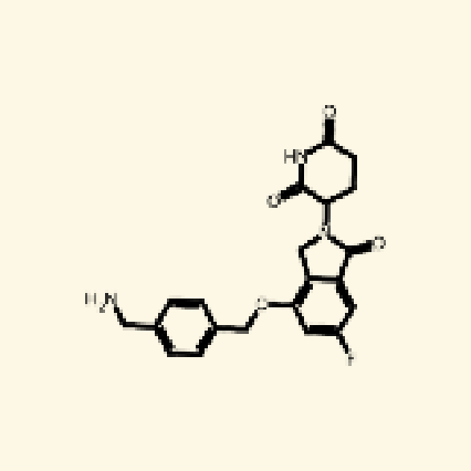 NCc1ccc(COc2cc(F)cc3c2CN(C2CCC(=O)NC2=O)C3=O)cc1